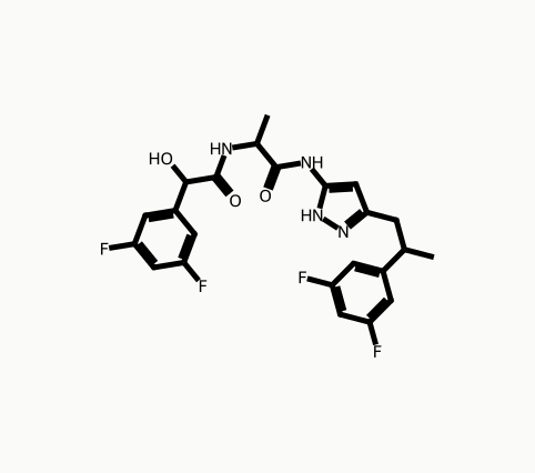 CC(NC(=O)C(O)c1cc(F)cc(F)c1)C(=O)Nc1cc(CC(C)c2cc(F)cc(F)c2)n[nH]1